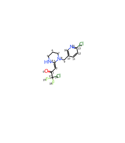 O=C(C=C1NCCCN1Cc1ccc(Cl)nc1)C(F)(F)Cl